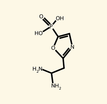 NC(N)Cc1ncc(P(=O)(O)O)o1